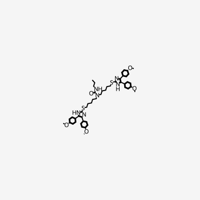 CCCNC(=O)N(CCCCCSc1nc(-c2ccc(OC)cc2)c(-c2ccc(OC)cc2)[nH]1)CCCCCSc1nc(-c2ccc(OC)cc2)c(-c2ccc(OC)cc2)[nH]1